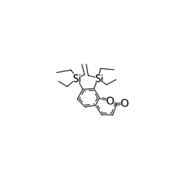 CC[Si](CC)(CC)c1ccc2ccc(=O)oc2c1[Si](CC)(CC)CC